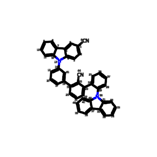 N#Cc1ccc2c(c1)c1ccccc1n2-c1cccc(-c2cccc(-c3ccccc3-n3c4ccccc4c4ccccc43)c2C#N)c1